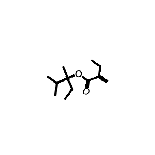 C=C(CC)C(=O)OC(C)(CC)C(C)C